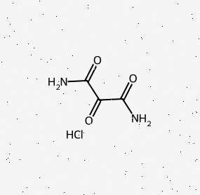 Cl.NC(=O)C(=O)C(N)=O